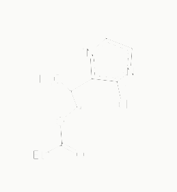 CCC(=O)OCC(C)c1nccnc1Cl